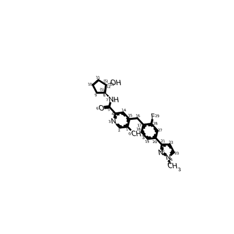 Cc1cnc(C(=O)N[C@H]2CCC[C@@H]2O)cc1Cc1ccc(-c2ccn(C)n2)cc1F